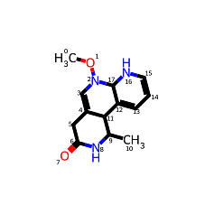 CON1C=C2CC(=O)NC(C)C2C2=CC=CNC21